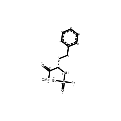 CCP(=O)(CC)N[C@@H](CCc1ccccc1)C(=O)OC